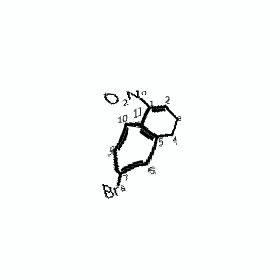 O=[N+]([O-])C1=CCCc2cc(Br)ccc21